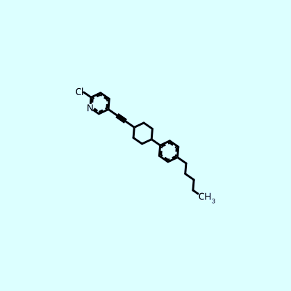 CCCCCc1ccc(C2CCC(C#Cc3ccc(Cl)nc3)CC2)cc1